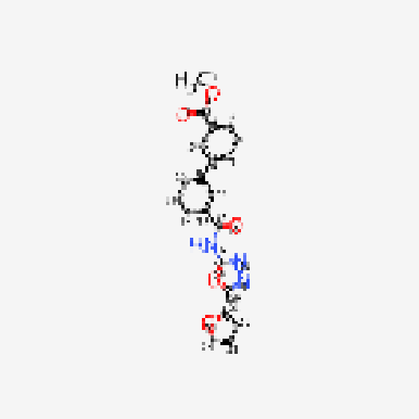 COC(=O)c1cccc(-c2cccc(C(=O)Nc3nnc(-c4ccco4)o3)c2)c1